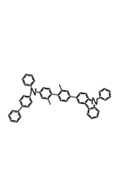 Cc1cc(-c2ccc3c(c2)c2ccccc2n3-c2ccccc2)ccc1-c1ccc(N(c2ccccc2)c2ccc(-c3ccccc3)cc2)cc1C